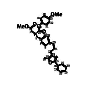 COC(=O)CN(Cc1ccc(/C=C\Cc2nc(-c3ccccc3)oc2C)cc1)C(=O)Oc1ccc(OC)cc1